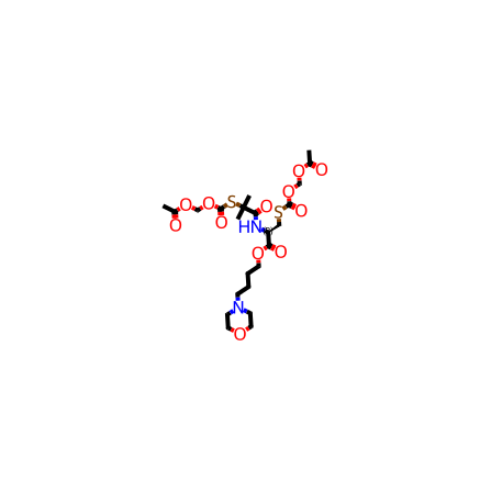 CC(=O)OCOC(=O)SC[C@H](NC(=O)C(C)(C)SC(=O)OCOC(C)=O)C(=O)OCCCCN1CCOCC1